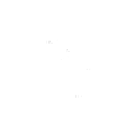 COc1ccc(Oc2ccc(C(=O)NC3CC4CC3CN4)cc2)cc1